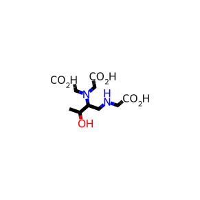 CC(O)C(CNCC(=O)O)N(CC(=O)O)CC(=O)O